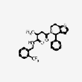 CC(CC(=O)N1CCc2sccc2C1c1ccccc1)C(=O)NCc1ccccc1C(F)(F)F